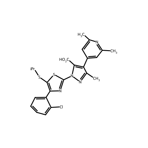 Cc1cc(-c2c(C)nn(-c3nc(-c4ccccc4Cl)c(SC(C)C)s3)c2C(=O)O)cc(C)n1